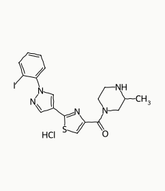 CC1CN(C(=O)c2csc(-c3cnn(-c4ccccc4I)c3)n2)CCN1.Cl